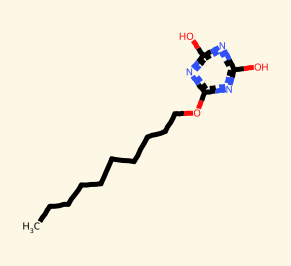 CCCCCCCCCCOc1nc(O)nc(O)n1